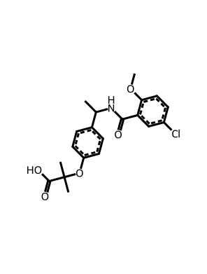 COc1ccc(Cl)cc1C(=O)NC(C)c1ccc(OC(C)(C)C(=O)O)cc1